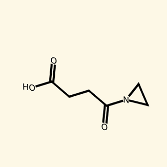 O=C(O)CCC(=O)N1CC1